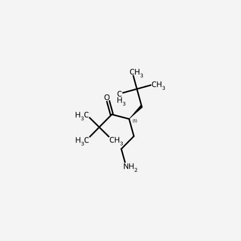 CC(C)(C)C[C@@H](CCN)C(=O)C(C)(C)C